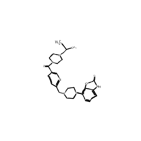 CC(C)N1CCN(C(=O)c2ccc(CN3CCN(c4cccc5[nH]c(=O)oc45)CC3)nc2)CC1